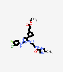 CCOC(=O)/C=C/c1cccc(-c2cnc(Nc3ccc(F)c(Cl)c3)nc2NCCCNC(=O)c2cnc(C)cn2)c1